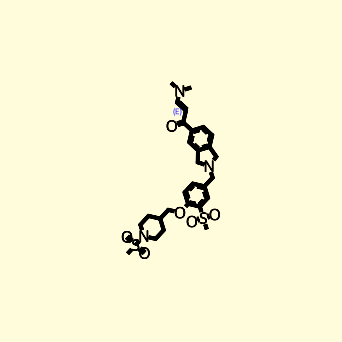 CN(C)/C=C/C(=O)c1ccc2c(c1)CN(Cc1ccc(OCC3CCN(S(C)(=O)=O)CC3)c(S(C)(=O)=O)c1)C2